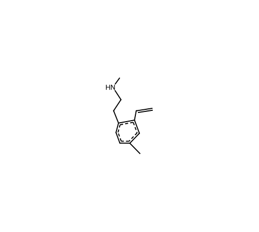 C=Cc1cc(C)ccc1CCNC